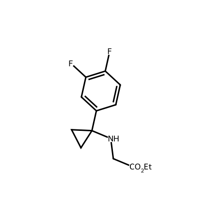 CCOC(=O)CNC1(c2ccc(F)c(F)c2)CC1